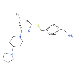 CCc1cc(SCc2ccc(CN)cc2)nc(N2CCC(N3CCCC3)CC2)c1